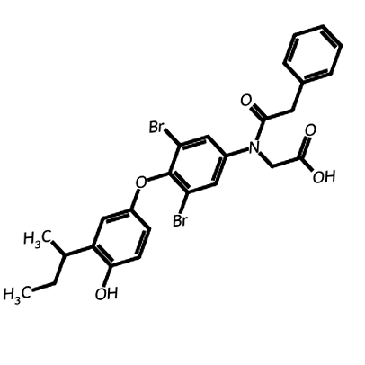 CCC(C)c1cc(Oc2c(Br)cc(N(CC(=O)O)C(=O)Cc3ccccc3)cc2Br)ccc1O